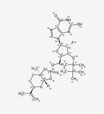 C=C(C)[C@H]1CC[C@@]2(C)S[P@](=S)(OC[C@H]3O[C@@H](n4cnc5c(=O)[nH]c(O)nc54)[C@H](F)C3O[Si](C)(C)C(C)(C)C)O[C@@H]2C1